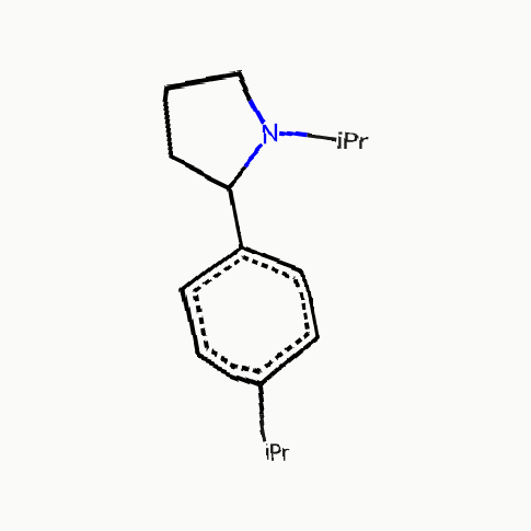 CC(C)c1ccc(C2CCCN2C(C)C)cc1